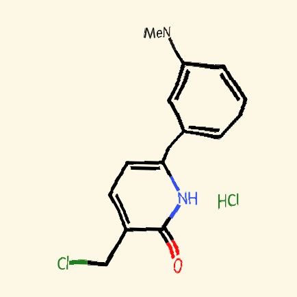 CNc1cccc(-c2ccc(CCl)c(=O)[nH]2)c1.Cl